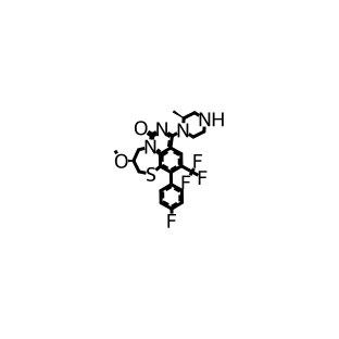 CO[C@@H]1CSc2c(-c3ccc(F)cc3)c(C(F)(F)F)cc3c(N4CCNC[C@@H]4C)nc(=O)n(c23)C1